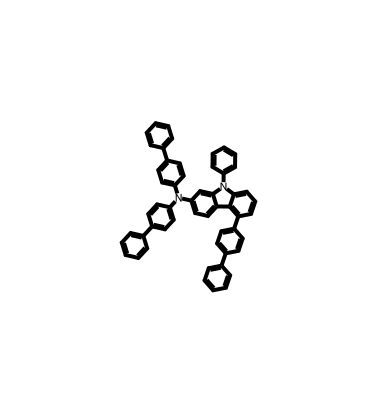 c1ccc(-c2ccc(-c3cccc4c3c3ccc(N(c5ccc(-c6ccccc6)cc5)c5ccc(-c6ccccc6)cc5)cc3n4-c3ccccc3)cc2)cc1